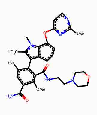 CNc1nccc(Oc2cccc3c(-c4c(C(C)(C)C)cc(C(N)=O)c(OC)c4C(=O)NCCN4CCOCC4)c(C(=O)O)n(C)c23)n1